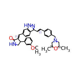 COc1cccc(C2CNC(=O)/C2=C/c2ccc3c(/C=C/c4ccc(CN5C[C@@H](C)O[C@@H](C)C5)cc4)n[nH]c3c2)c1